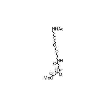 COC(=O)CNC(=O)[C@@H](C)CCC(=O)NCCCOCCOCCOCCCNC(C)=O